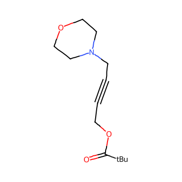 CC(C)(C)C(=O)OCC#CCN1CCOCC1